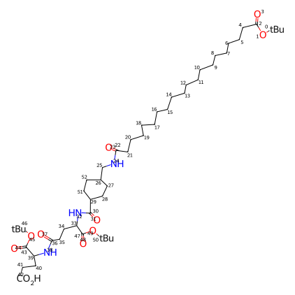 CC(C)(C)OC(=O)CCCCCCCCCCCCCCCCCCC(=O)NCC1CCC(C(=O)NC(CCC(=O)NC(CCC(=O)O)C(=O)OC(C)(C)C)C(=O)OC(C)(C)C)CC1